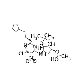 CC(O)O[C@H]1C[C@@H](Nc2nc(SCCC3CCCC3)nc(Cl)c2[N+](=O)[O-])[C@@H]2OC(C)(C)O[C@@H]21